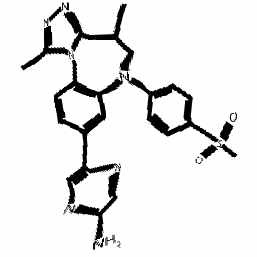 Cc1nnc2n1-c1ccc(-c3cnc(N)cn3)cc1N(c1ccc(S(C)(=O)=O)cc1)CC2C